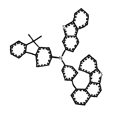 CC1(C)c2ccccc2-c2ccc(N(c3ccc(-c4cccc5ccc6sc7ccccc7c6c45)cc3)c3ccc4c(c3)sc3ccccc34)cc21